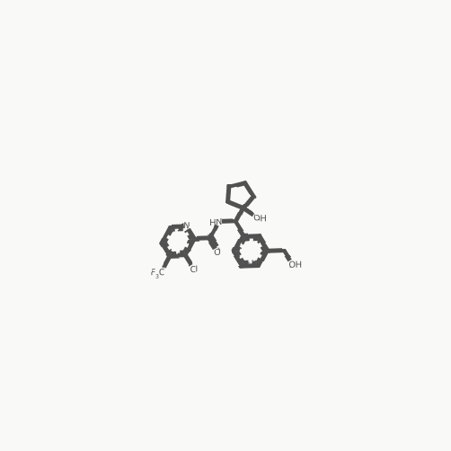 O=C(NC(c1cccc(CO)c1)C1(O)CCCC1)c1nccc(C(F)(F)F)c1Cl